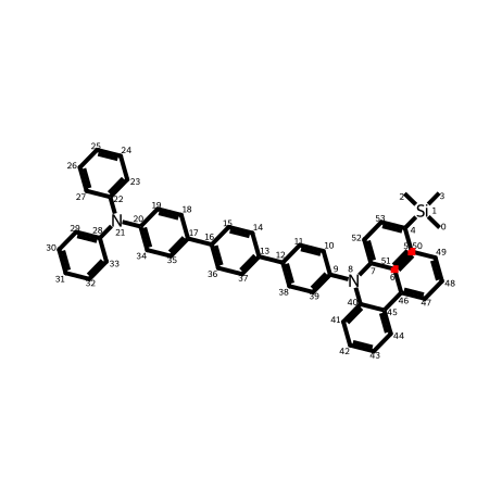 C[Si](C)(C)c1ccc(N(c2ccc(-c3ccc(-c4ccc(N(c5ccccc5)c5ccccc5)cc4)cc3)cc2)c2ccccc2-c2ccccc2)cc1